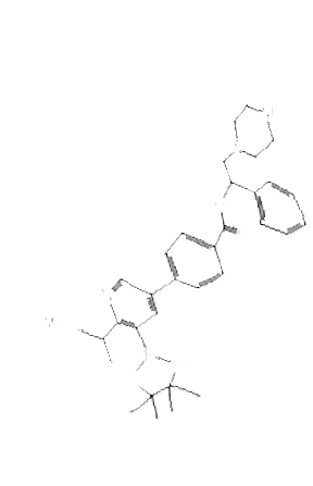 COC(C)c1ncc(-c2ccc(C(=O)OC(CN3CCNCC3)c3ccccc3)cc2)cc1B1OC(C)(C)C(C)(C)O1